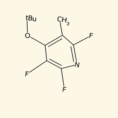 Cc1c(F)nc(F)c(F)c1OC(C)(C)C